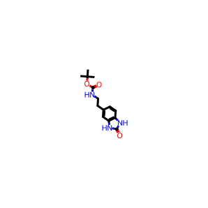 CC(C)(C)OC(=O)NCCc1ccc2[nH]c(=O)[nH]c2c1